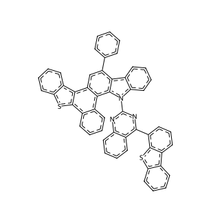 c1ccc(-c2cc3c4c5ccccc5sc4c4ccccc4c3c3c2c2ccccc2n3-c2nc(-c3cccc4c3sc3ccccc34)c3ccccc3n2)cc1